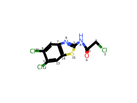 O=C(CCl)Nc1nc2cc(Cl)c(Cl)cc2s1